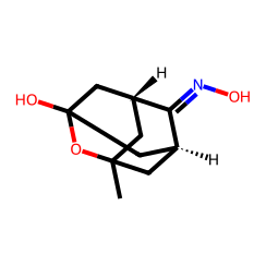 CC12C[C@@H]3CC(O)(C[C@H](C1)/C3=N\O)O2